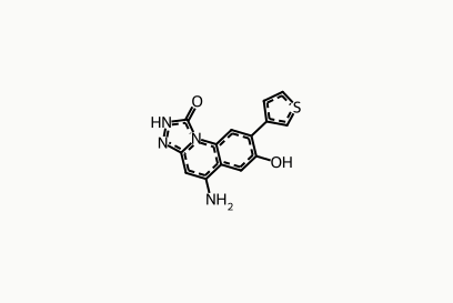 Nc1cc2n[nH]c(=O)n2c2cc(-c3ccsc3)c(O)cc12